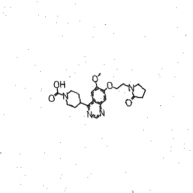 COc1cc2c(C3CCN(C(=O)O)CC3)ncnc2cc1OCCN1CCCC1=O